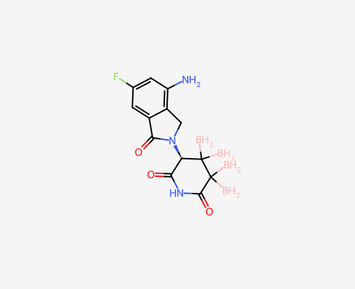 BC1(B)C(=O)NC(=O)[C@@H](N2Cc3c(N)cc(F)cc3C2=O)C1(B)B